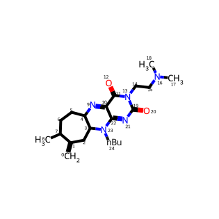 C=C1CC2C(CCC1C)N=C1C(=O)N(CCN(C)C)C(=O)N=C1N2CCCC